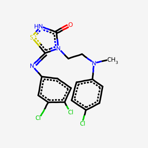 CN(CCn1c(=O)[nH]s/c1=N/c1ccc(Cl)c(Cl)c1)c1ccc(Cl)cc1